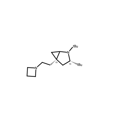 CC(C)(C)[C@@H]1C[C@@]2(CCN3CCC3)CC2N1C(C)(C)C